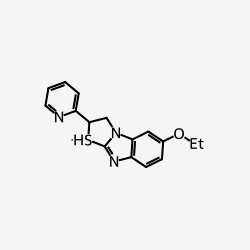 CCOc1ccc2nc3n(c2c1)CC(c1ccccn1)[SH]3